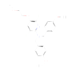 COCCOc1cc(F)c(N(Cc2ccc(OC)cc2)Cc2ccc(OC)cc2)nc1F